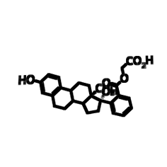 C[C@]12CCC3c4ccc(O)cc4CCC3C1CC[C@]2(O)c1ccccc1C(=O)OCC(=O)O